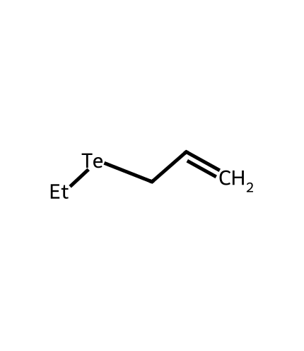 C=CC[Te]CC